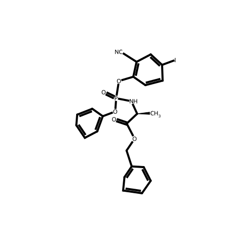 C[C@H](NP(=O)(Oc1ccccc1)Oc1ccc(I)cc1C#N)C(=O)OCc1ccccc1